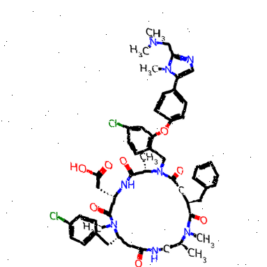 C[C@H]1CNC(=O)C[C@H](Cc2ccc(Cl)cc2)N(C)C(=O)[C@H](CC(=O)O)NC(=O)[C@H](C)N(Cc2ccc(Cl)cc2Oc2ccc(-c3cnc(CN(C)C)n3C)cc2)C(=O)C[C@@H](Cc2ccccc2)C(=O)N1C